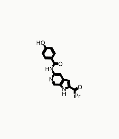 CC(C)C(=O)c1cc2cc(NC(=O)c3ccc(O)cc3)ncc2[nH]1